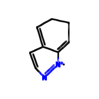 C1=CC2=CCCC=C2[N+]=N1